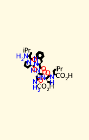 CC(C)C[C@H](NC(=O)[C@H](CCC(=O)O)NC(=O)[C@H](CC(N)=O)NC(=O)[C@H](Cc1ccccc1)NC(=O)[C@@H]1CCCN1C(=O)[C@@H](N)CC(C)C)C(=O)O